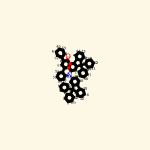 c1ccc(C2(c3ccccc3)c3ccccc3-c3ccc(N(c4ccc5c(c4)C(c4ccccc4)(c4ccccc4)c4ccccc4-5)c4ccccc4-c4ccc5oc6ccccc6c5c4)cc32)cc1